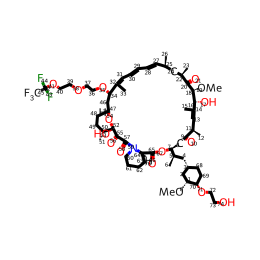 CO[C@@H]1C[C@H](C[C@@H](C)[C@@H]2CC(=O)[C@H](C)/C=C(\C)[C@@H](O)[C@@H](OC)C(=O)[C@H](C)C[C@H](C)/C=C/C=C/C=C(\C)C(OCCOCCOC(F)(F)C(F)(F)F)C[C@@H]3CC[C@@H](C)[C@@](O)(O3)C(=O)C(=O)N3CCCC[C@H]3C(=O)O2)CC[C@H]1OCCO